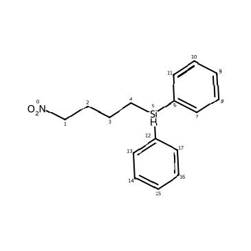 O=[N+]([O-])CCCC[SiH](c1ccccc1)c1ccccc1